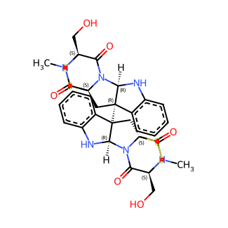 CN1C(=O)[C@@]23CC4([C@]56C[C@@]78SS[C@@](CO)(C(=O)N7[C@H]5Nc5ccccc56)N(C)C8=O)c5ccccc5N[C@@H]4N2C(=O)[C@]1(CO)SS3